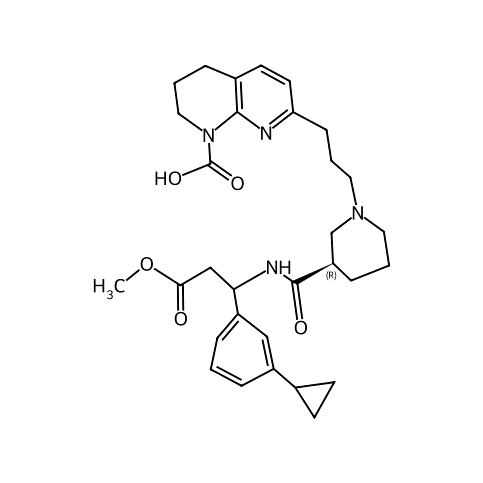 COC(=O)CC(NC(=O)[C@@H]1CCCN(CCCc2ccc3c(n2)N(C(=O)O)CCC3)C1)c1cccc(C2CC2)c1